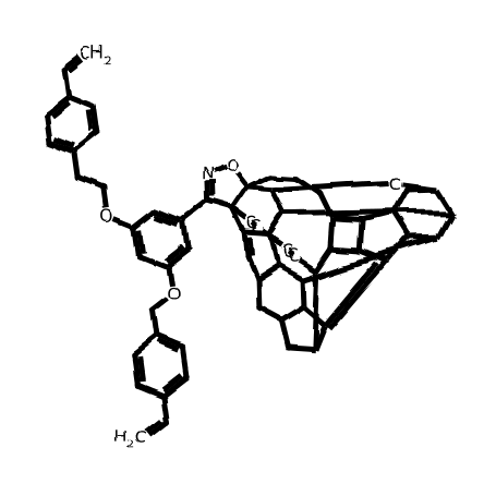 C=Cc1ccc(CCOc2cc(OCc3ccc(C=C)cc3)cc(C3=NOC45CCCC6C7C8CCCCC34C3=CC4CC9CC8C8=C%10C7C6C6CC7CC5C5C3C4C(C89)C(C%106)C75)c2)cc1